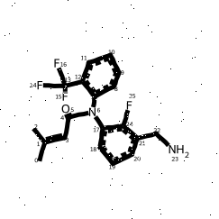 CC(C)=CC(=O)N(c1ccccc1C(F)(F)F)c1cccc(CN)c1F